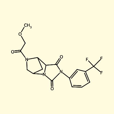 COCC(=O)N1CC2CC1C1C(=O)N(c3cccc(C(F)(F)F)c3)C(=O)N21